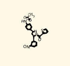 CS(=O)(=O)Nc1ccc(C2=NN(C(=O)c3cccs3)C(c3cccc(N=O)c3)C2)cc1